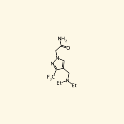 CCN(CC)Cc1cn(CC(N)=O)nc1C(F)(F)F